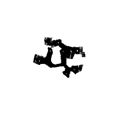 CCO.O=C(O)CC(O)C(=O)O.[NaH]